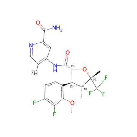 [2H]c1cnc(C(N)=O)cc1NC(=O)[C@@H]1O[C@](C)(C(F)(F)F)[C@H](C)[C@H]1c1ccc(F)c(F)c1OC